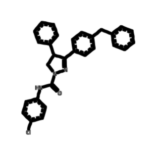 O=C(Nc1ccc(Cl)cc1)N1CC(c2ccccc2)C(c2ccc(Cc3ccccc3)cc2)=N1